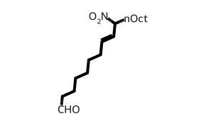 CCCCCCCCC(/C=C/CCCCCCC=O)[N+](=O)[O-]